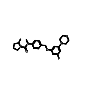 CC1CCCN1C(=O)N(C)c1ccc(COc2cc(F)cc(N3CCSCC3)c2)cc1